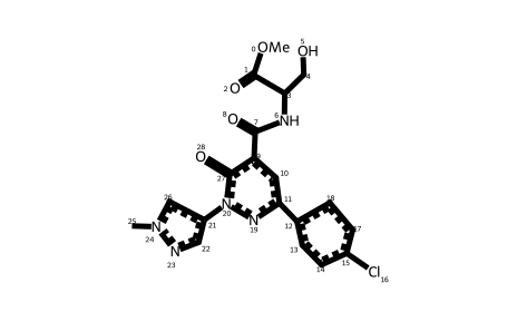 COC(=O)C(CO)NC(=O)c1cc(-c2ccc(Cl)cc2)nn(-c2cnn(C)c2)c1=O